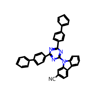 N#Cc1ccc2c3ccccc3n(-c3nc(-c4ccc(-c5ccccc5)cc4)nc(-c4ccc(-c5ccccc5)cc4)n3)c2c1